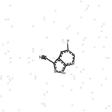 N#Cc1n[nH]c2ncc(F)cc12